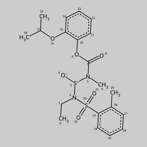 CCN([S+]([O-])N(C)C(=O)Oc1ccccc1OC(C)C)S(=O)(=O)c1ccccc1C